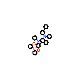 c1ccc(-c2cccc(N(c3ccccc3)c3cc4c(c5ccccc35)c3cc5c6c(c3n4-c3ccccc3)Oc3ccccc3B6c3ccccc3O5)c2)cc1